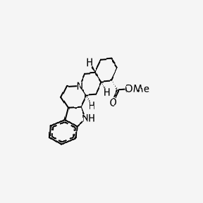 COC(=O)[C@H]1CCC[C@H]2CN3CCC4c5ccccc5NC4[C@@H]3C[C@@H]21